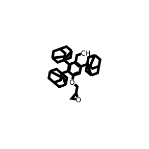 CCc1c(C23CC4CC(CC(C4)C2)C3)cc(OCC2CO2)c(C23CC4CC(CC(C4)C2)C3)c1C12CC3CC(CC(C3)C1)C2